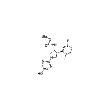 CC(C)(C)OC(=O)N[C@H]1CN(c2ncc(O)cn2)C[C@@H]1c1cc(F)ccc1F